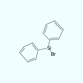 Br[Si](c1ccccc1)c1ccccc1